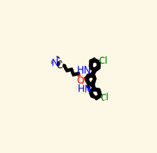 CN(C)CCCCCCOc1c2[nH]c3ccc(Cl)cc3c2cc2c1[nH]c1ccc(Cl)cc12